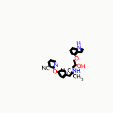 CC(C)(Cc1ccc(Oc2ncccc2C#N)cc1)NCC(O)COc1cccc2[nH]ccc12